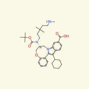 CNCCC(C)(C)CCN(C(=O)OC(C)(C)C)[C@H]1COc2ccccc2-c2c(C3CCCCC3)c3ccc(C(=O)O)cc3n2C1